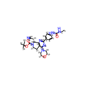 CCNC(=O)Nc1ccc(-c2nc3c(c(N4CCOCC4)n2)CCN(C(=O)OC(C)(C)C)[C@@H]3CC#N)cc1